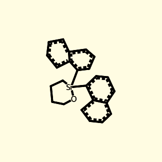 c1ccc2c([Si]3(c4cccc5ccccc45)CCCCO3)cccc2c1